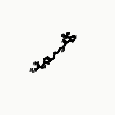 N=C(N)Nc1nc(CSCCNC2=NS(=O)(=O)c3cscc32)cs1